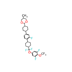 CC1COC(C2CCC(c3ccc(C4CCC(C(F)(F)Oc5cc(F)c(OC(F)(F)F)c(F)c5)CC4)c(F)c3)CC2)OC1